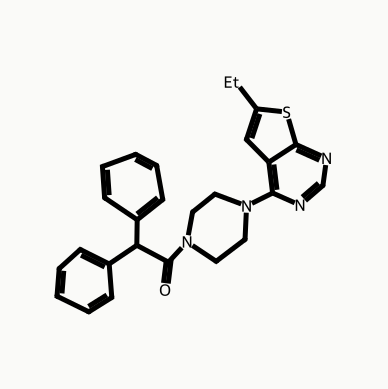 CCc1cc2c(N3CCN(C(=O)C(c4ccccc4)c4ccccc4)CC3)ncnc2s1